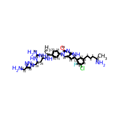 C[C@H](N)CCCc1cc(Cl)c(F)c(-c2cc3cn(-c4ccc([C@H](C)NCC[C@@H](Cn5cc(CN)nn5)NC(=N)N)cc4)c(=O)nc3[nH]2)c1